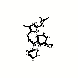 Cc1nc(CN(C)C)n2c1CN=C(c1ccccn1)c1cc(C(F)(F)F)ccc1-2